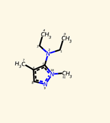 CCN(CC)c1c(C)[c]nn1C